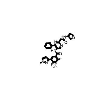 Cn1ccc(-c2cc(C(=O)Nc3cnc(CC(=O)N[C@H]4CCOC4)nc3-c3ccccc3)c(F)cc2C(F)(F)F)n1